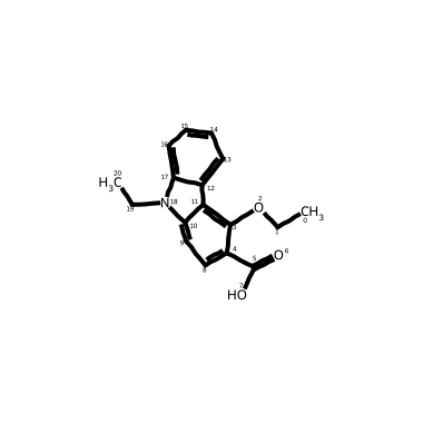 CCOc1c(C(=O)O)ccc2c1c1ccccc1n2CC